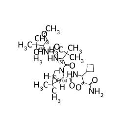 COC[C@@H](NC(=O)N[C@H](C(=O)N1C[C@H]2[C@@H]([C@H]1C(=O)NC(C(=O)C(N)=O)C1CCC1)C2(C)C)C(C)(C)C)C(C)(C)C